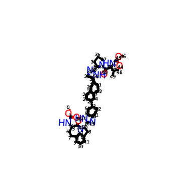 COC(=O)N[C@H]1CCc2cccc3c2N(C1=O)[C@H](c1nc2ccc(-c4ccc5cc(-c6cnc([C@@H]7CCCN7C(=O)[C@@H](NC(=O)OC)C(C)C)[nH]6)ccc5c4)cc2[nH]1)C3